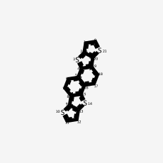 c1cc2sc3c4ccc5c6sccc6sc5c4ccc3c2s1